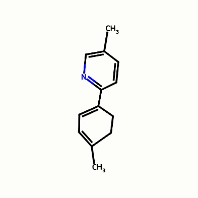 CC1=CC=C(c2ccc(C)cn2)CC1